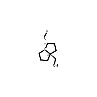 OC[C@@]12CCCN1[C@H](CF)CC2